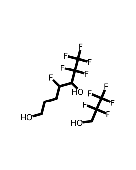 OCC(F)(F)C(F)(F)F.OCCCC(F)C(O)C(F)(F)C(F)(F)F